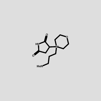 CNCCC[N+]1(C2CC(=O)NC2=O)CCOCC1